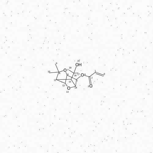 C=CC(=O)OC1C2OC(C)(C)C3C2OC1C3C(C)(C)O